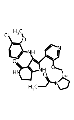 CCC(=O)N1CCC[C@H]1COc1cnccc1-c1[nH]c2c(c1Nc1cccc(Cl)c1OC)C(=O)NCC2